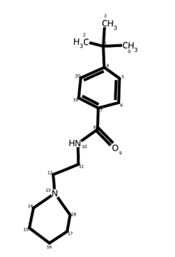 CC(C)(C)c1ccc(C(=O)NCCN2CCCCC2)cc1